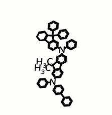 CC1(C)c2cc(N(c3ccccc3)c3ccc(-c4ccccc4)cc3)ccc2-c2ccc(N(c3ccccc3)c3ccc4c(c3)C(c3ccccc3)(c3ccccc3)C3=C4CCC=C3)cc21